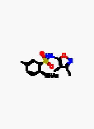 CC(=O)Nc1ccc(C)cc1S(=O)(=O)Nc1onc(C)c1C